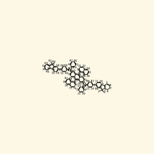 CC1(C)C2=C(C=CCC2)c2ccc(-c3ccc(N(c4ccccc4)c4ccc5c(-c6cccc7ccccc67)c6cc(N(c7ccccc7)c7ccc(-c8ccc9c(c8)C(C)(C)c8ccccc8-9)cc7)ccc6c(-c6cccc7ccccc67)c5c4)cc3)cc21